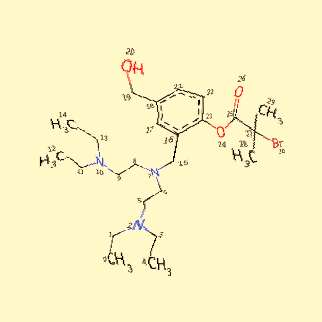 CCN(CC)CCN(CCN(CC)CC)Cc1cc(CO)ccc1OC(=O)C(C)(C)Br